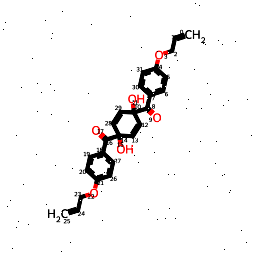 C=CCOc1ccc(C(=O)C2(O)C=CC(O)(C(=O)c3ccc(OCC=C)cc3)C=C2)cc1